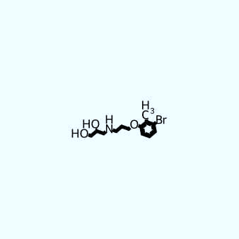 Cc1c(Br)cccc1OCCCNC[C@H](O)CO